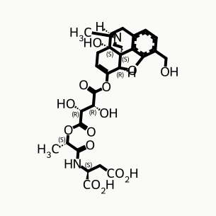 C[C@H](OC(=O)[C@H](O)[C@@H](O)C(=O)OC1=CC[C@@]2(O)[C@H]3Cc4ccc(CO)c5c4[C@@]2(CCN3C)[C@H]1O5)C(=O)N[C@@H](CC(=O)O)C(=O)O